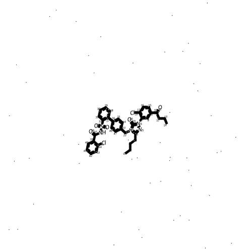 CCCCc1nn(-c2cc(C(=O)CCC)ccc2Cl)c(=O)n1Cc1ccc(-c2ccccc2S(=O)(=O)NC(=O)c2ccccc2Cl)cc1